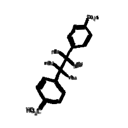 CCCCC(CCCC)(c1ccc(C(=O)O)cc1)C(CCCC)(CCCC)c1ccc(C(=O)O)cc1